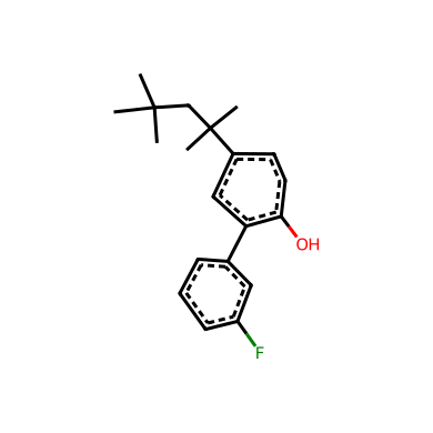 CC(C)(C)CC(C)(C)c1ccc(O)c(-c2cccc(F)c2)c1